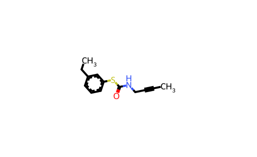 CC#CCNC(=O)Sc1cccc(CC)c1